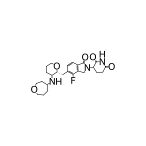 O=C1CCC(N2Cc3c(ccc(C[C@H]4OCCC[C@@H]4NC4CCCOCC4)c3F)C2=O)C(=O)N1